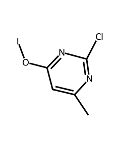 Cc1cc(OI)nc(Cl)n1